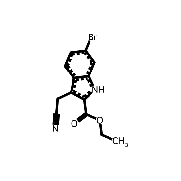 CCOC(=O)c1[nH]c2cc(Br)ccc2c1CC#N